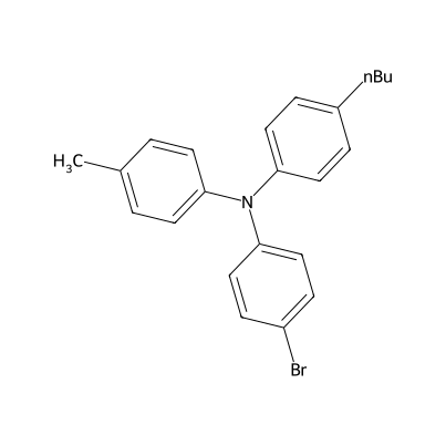 CCCCc1ccc(N(c2ccc(C)cc2)c2ccc(Br)cc2)cc1